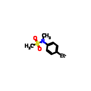 C[CH]c1ccc(N(C)S(C)(=O)=O)cc1